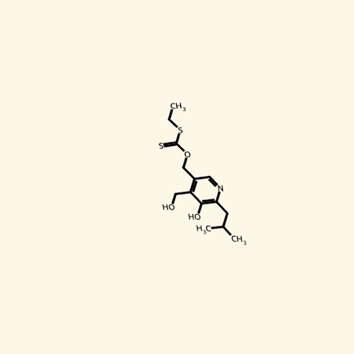 CCSC(=S)OCc1cnc(CC(C)C)c(O)c1CO